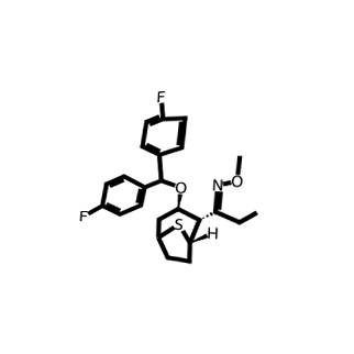 CCC(=NOC)[C@@H]1[C@@H]2CCC(C[C@H]1OC(c1ccc(F)cc1)c1ccc(F)cc1)S2